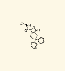 O=C(NC1CC1)c1n[nH]c2c1C=CC(c1ccccc1)(c1cccnc1)C2